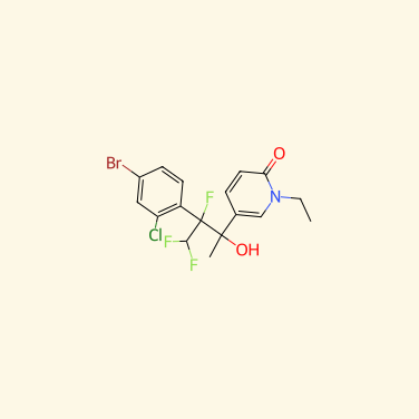 CCn1cc(C(C)(O)C(F)(c2ccc(Br)cc2Cl)C(F)F)ccc1=O